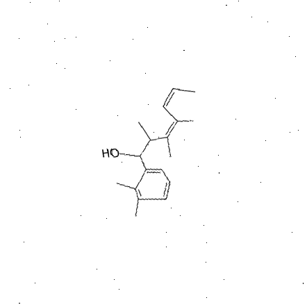 C/C=C\C(C)=C(\C)C(C)C(O)c1cccc(C)c1C